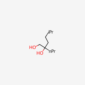 CCCC(O)(CO)CCC(C)C